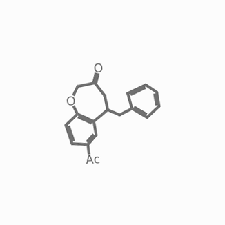 CC(=O)c1ccc2c(c1)C(Cc1ccccc1)CC(=O)CO2